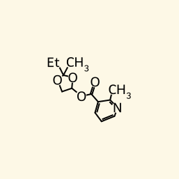 CCC1(C)OCC(OC(=O)c2cccnc2C)O1